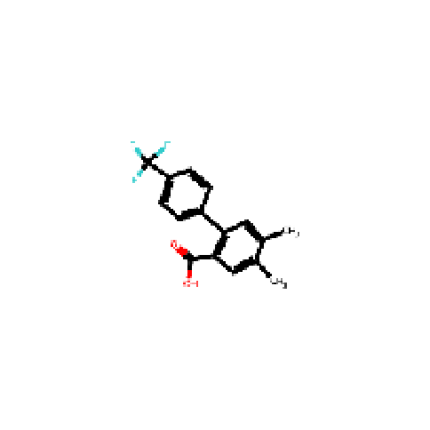 Cc1cc(C(=O)O)c(-c2ccc(C(F)(F)F)cc2)cc1C